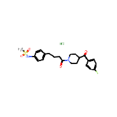 CS(=O)(=O)Nc1ccc(CCCC(=O)N2CCC(C(=O)c3ccc(F)cc3)CC2)cc1.Cl